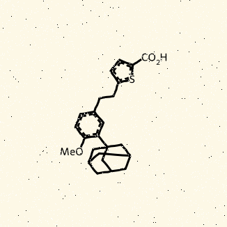 COc1ccc(CCc2ccc(C(=O)O)s2)cc1C12CC3CC(CC(C3)C1)C2